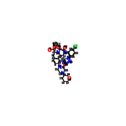 CC(C)(C)OC(=O)[C@H](Cc1ccc(N2CCN(C3CCCOC3)CC2=O)cc1)N1CCN(c2cc(Cl)ccc2-n2cnnn2)C(=O)C1=O